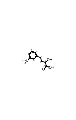 Nc1cccc(CCC(O)C(=O)O)c1